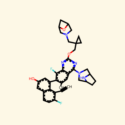 C#Cc1c(F)ccc2cc(O)cc(-c3c(C#N)cc4c(N5CC6CCC(C5)N6)nc(OCC5(CN6CC7CC(C6)O7)CC5)nc4c3F)c12